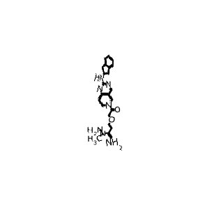 CN(N)/C(=C\N)CCOCC(=O)N1CCc2nc(NC3Cc4ccccc4C3)ncc2C1